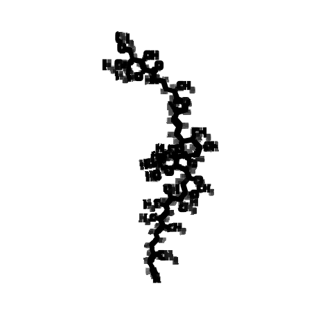 COC[C@@H]([C@H](O)[C@H](O)C(=O)NCC[C@H](C)c1nc(/C=C/C[C@@H]2O[C@]3(C[C@@H](O)[C@@H]2C)O[C@H]([C@H](C[C@H](O)[C@H](C)[C@H](O)[C@H](C)/C=C(C)/C(C)=C/C=C/C(C)=C/C#N)OC)[C@H](OP(=O)(O)O)C3(C)C)co1)N(C)C